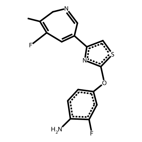 CC1=C(F)C=C(c2csc(Oc3ccc(N)c(F)c3)n2)C=NC1